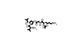 CC(=O)N[C@H](CCCCN)C(=O)NCC(=O)O[C@@H]1C[C@@H](C(=O)C(C)C)N(C(=O)[C@H](N)C(C)C)C1